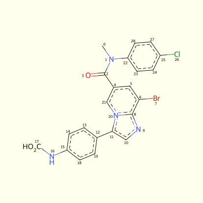 CN(C(=O)c1cc(Br)c2ncc(-c3ccc(NC(=O)O)cc3)n2c1)c1ccc(Cl)cc1